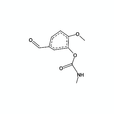 CNC(=O)Oc1cc(C=O)ccc1OC